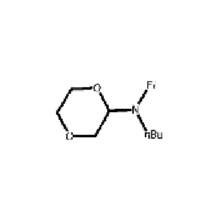 CCCCN(CC)C1COCCO1